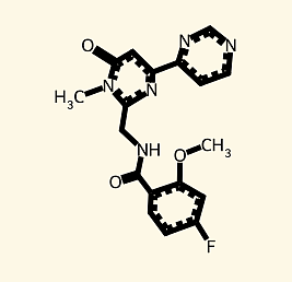 COc1cc(F)ccc1C(=O)NCc1nc(-c2ccncn2)cc(=O)n1C